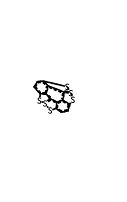 c1cc2c3c4c5c(ccc6c5c5c3c1SS=5S6)SS=4S2